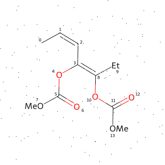 C/C=C\C(OC(=O)OC)=C(/CC)OC(=O)OC